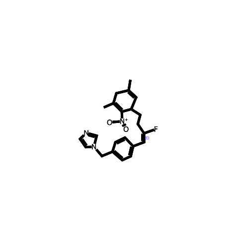 CC1=CC(CC/C(F)=C\c2ccc(Cn3ccnc3)cc2)C([N+](=O)[O-])=C(C)C1